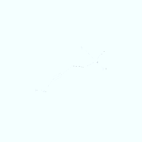 CC[Si](CC)(CC)OCC#[C][SnH3]